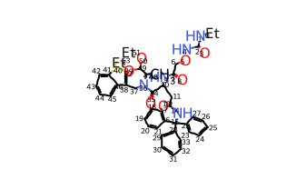 CCNC(=O)NOCC(=O)NC(CC(=O)NC(c1ccccc1)(c1ccccc1)c1ccccc1)C(=O)N(Cc1csc2ccccc12)C(C)C(OCC)OCC